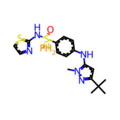 Cn1nc(C(C)(C)C)cc1Nc1ccc([SH](=O)(P)Nc2nccs2)cc1